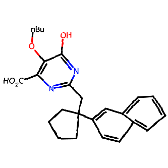 CCCCOc1c(O)nc(CC2(c3ccc4ccccc4c3)CCCC2)nc1C(=O)O